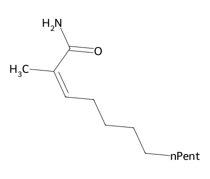 CCCCCCCCCC=C(C)C(N)=O